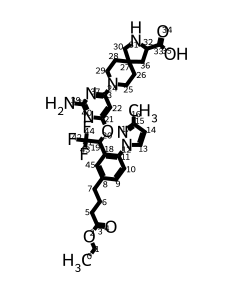 CCOC(=O)CCCc1ccc(-n2ccc(C)n2)c(C(Oc2cc(N3CCC4(CC3)CNC(C(=O)O)C4)nc(N)n2)C(F)(F)F)c1